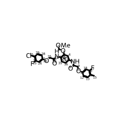 COCOC1CC2(NC(=O)COc3ccc(C)c(F)c3)CCC1(NC(=O)COc1ccc(Cl)c(F)c1)CC2